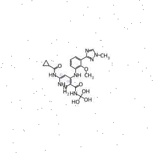 COc1c(NC(/C=C(\N)NC(=O)C2CC2)=C(/N)C(=O)NC(O)(O)O)cccc1-c1ncn(C)n1